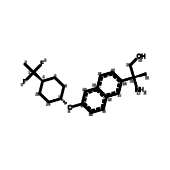 CC(F)(F)[C@H]1CC[C@H](Oc2ccc3cc([C@@](C)(N)CO)ccc3c2)CC1